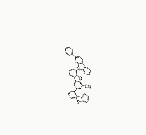 N#Cc1cc(-c2cccc3sc4ccccc4c23)cc2c1oc1c(-n3c4ccccc4c4ccc(-c5ccccc5)cc43)cccc12